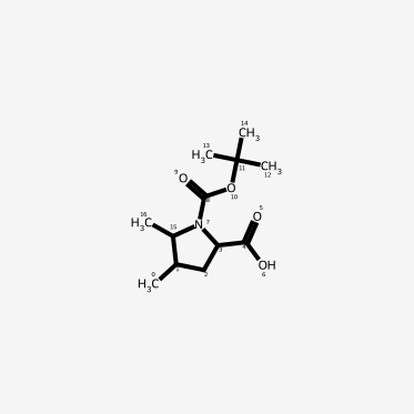 CC1CC(C(=O)O)N(C(=O)OC(C)(C)C)C1C